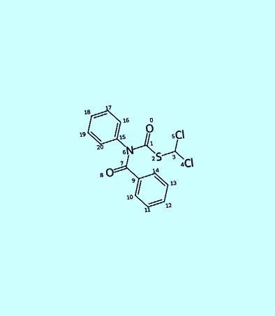 O=C(SC(Cl)Cl)N(C(=O)c1ccccc1)c1ccccc1